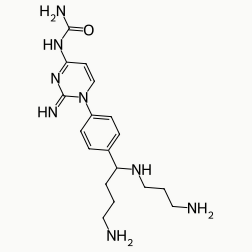 N=c1nc(NC(N)=O)ccn1-c1ccc(C(CCCN)NCCCN)cc1